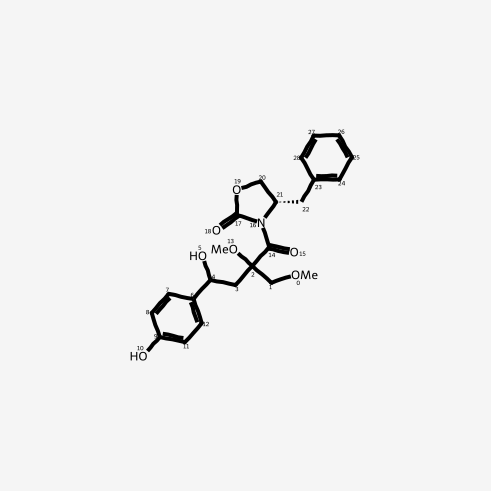 COCC(CC(O)c1ccc(O)cc1)(OC)C(=O)N1C(=O)OC[C@@H]1Cc1ccccc1